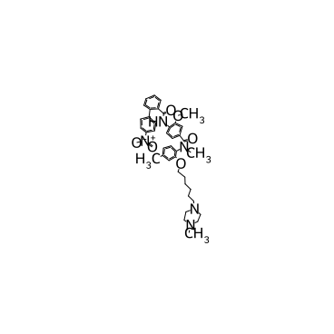 COc1cc(C(=O)N(C)c2ccc(C)cc2OCCCCCCN2CCN(C)CC2)ccc1NC(=O)c1ccccc1-c1ccc([N+](=O)[O-])cc1